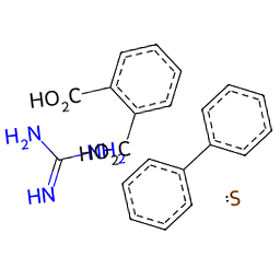 N=C(N)N.O=C(O)c1ccccc1C(=O)O.[S].c1ccc(-c2ccccc2)cc1